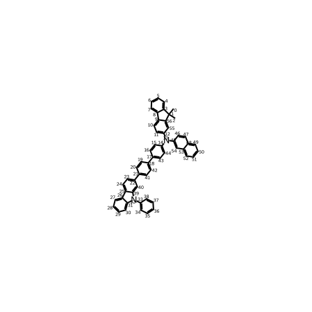 CC1(C)c2ccccc2-c2ccc(N(c3ccc(-c4ccc(-c5ccc6c7ccccc7n(-c7ccccc7)c6c5)cc4)cc3)c3ccc4ccccc4c3)cc21